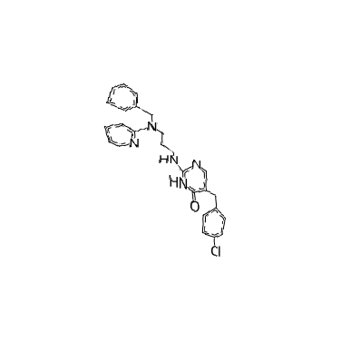 O=c1[nH]c(NCCCN(Cc2ccccc2)c2ccccn2)ncc1Cc1ccc(Cl)cc1